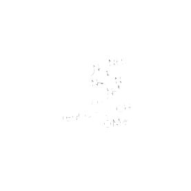 COC1C(O)[C@H](n2cnc3c(N)ncnc32)O[C@@H]1COC(C)(C)C